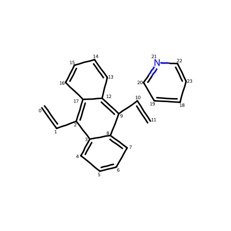 C=Cc1c2ccccc2c(C=C)c2ccccc12.c1ccncc1